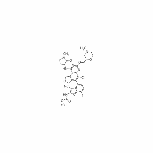 CN1CCO[C@@H](COc2nc(N[C@@H]3CCN(C)C3=O)c3c4c(c(-c5ccc(F)c6sc(NC(=O)OC(C)(C)C)c(C#N)c56)c(Cl)c3n2)COC4)C1